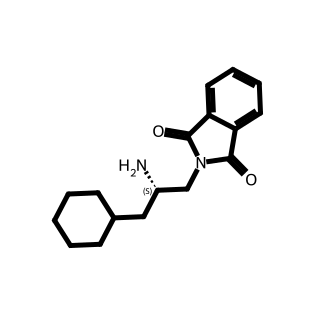 N[C@@H](CC1CCCCC1)CN1C(=O)c2ccccc2C1=O